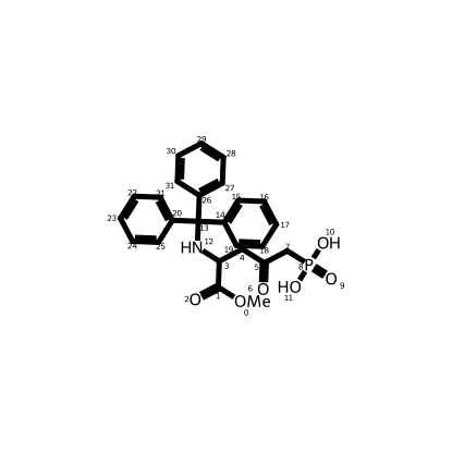 COC(=O)C(CC(=O)CP(=O)(O)O)NC(c1ccccc1)(c1ccccc1)c1ccccc1